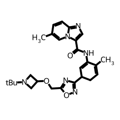 CC1=CCC(c2noc(COC3CN(C(C)(C)C)C3)n2)C=C1NC(=O)c1cnc2ccc(C)cn12